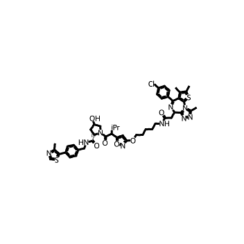 Cc1ncsc1-c1ccc(CNC(=O)[C@@H]2CC(O)CN2C(=O)C(c2cc(OCCCCCNC(=O)CC3N=C(c4ccc(Cl)cc4)c4c(sc(C)c4C)-n4c(C)nnc43)no2)C(C)C)cc1